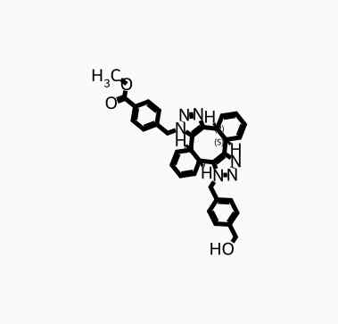 COC(=O)c1ccc(Cn2nnc3c2[C@H]2C=CC=C[C@H]2c2c(nnn2Cc2ccc(CO)cc2)[C@H]2C=CC=C[C@@H]32)cc1